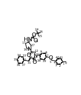 Cc1ccc(COc2ccc(N(CC(=O)N3CC[C@H](NC(=O)OC(C)(C)C)C3)C(=O)/C=C/c3ccccc3)cc2)cc1